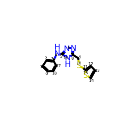 c1ccc(Nc2nnc(CSc3cccs3)[nH]2)cc1